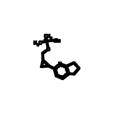 CC(C)(C)[Si](C)(C)OCC1CC1c1ccc2c(n1)CCC2